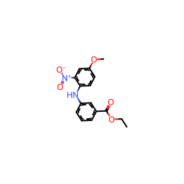 CCOC(=O)c1cccc(Nc2ccc(OC)cc2[N+](=O)[O-])c1